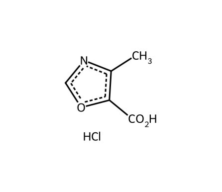 Cc1ncoc1C(=O)O.Cl